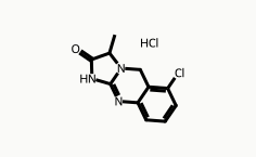 CC1C(=O)NC2=Nc3cccc(Cl)c3CN21.Cl